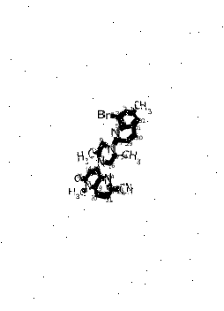 Cc1cc(Br)c2nc(N3C[C@H](C)N(c4cc(=O)n(C)c5ccc(C#N)nc45)C[C@H]3C)ccc2c1